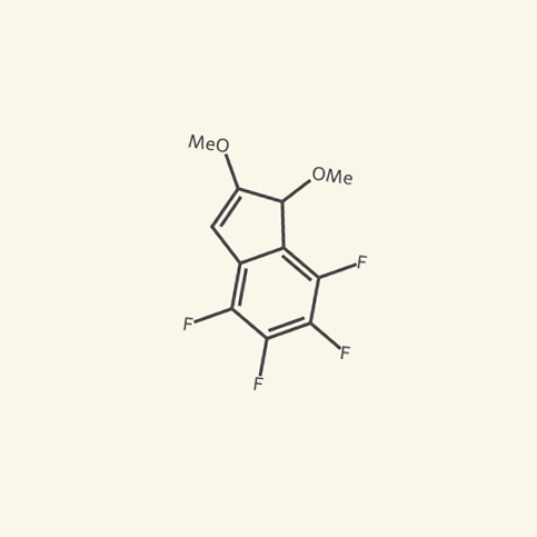 COC1=Cc2c(F)c(F)c(F)c(F)c2C1OC